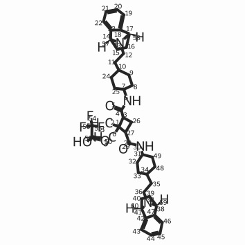 CC1(C)C(C(=O)NC2CCC(CCN3[C@@H]4CC[C@H]3c3ccccc34)CC2)CC1C(=O)NC1CCC(CCN2[C@@H]3CC[C@H]2c2ccccc23)CC1.O=C(O)C(F)(F)F